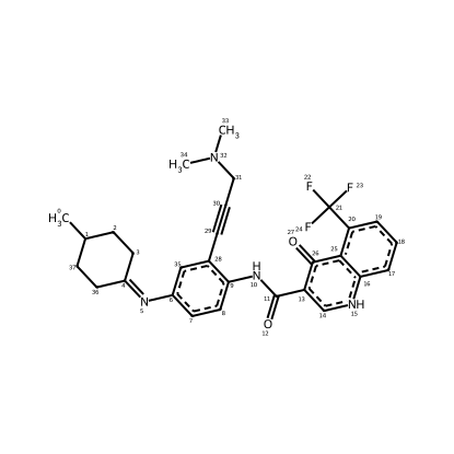 CC1CCC(=Nc2ccc(NC(=O)c3c[nH]c4cccc(C(F)(F)F)c4c3=O)c(C#CCN(C)C)c2)CC1